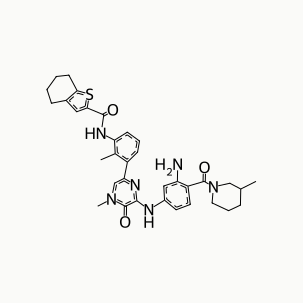 Cc1c(NC(=O)c2cc3c(s2)CCCC3)cccc1-c1cn(C)c(=O)c(Nc2ccc(C(=O)N3CCCC(C)C3)c(N)c2)n1